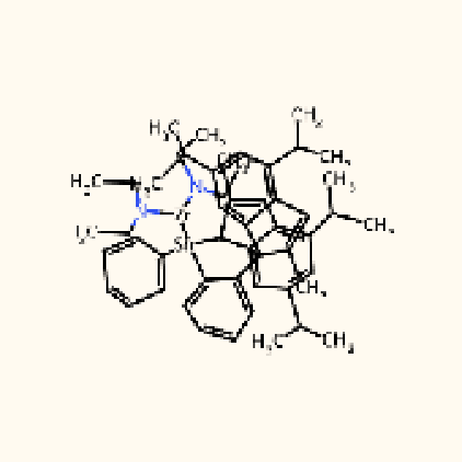 CC[N](CC)[Zr]([N](CC)CC)[Sn]([c]1ccccc1)([c]1ccccc1C1C(C)=Cc2c(C(C)C)cc(C(C)C)cc21)[CH]1C(C)=Cc2c(C(C)C)cc(C(C)C)cc21